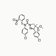 COC(=O)C1(C)CN(C(=O)N(Sc2ccccc2[N+](=O)[O-])c2ccc(Cl)cc2)N=C1c1ccc(Cl)cc1